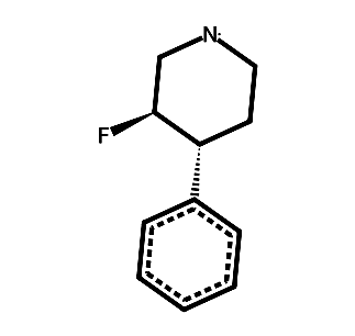 F[C@H]1C[N]CC[C@@H]1c1ccccc1